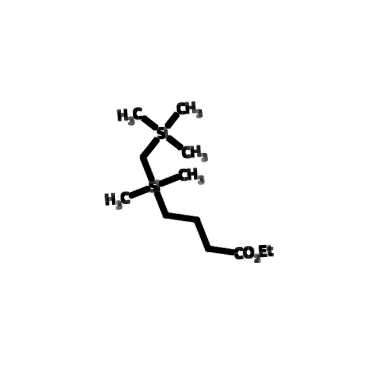 CCOC(=O)CCC[Si](C)(C)C[Si](C)(C)C